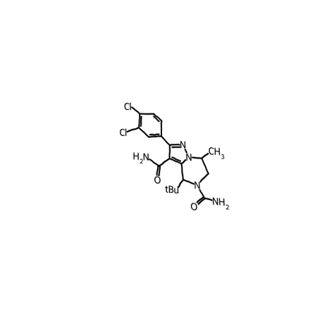 CC1CN(C(N)=O)C(C(C)(C)C)c2c(C(N)=O)c(-c3ccc(Cl)c(Cl)c3)nn21